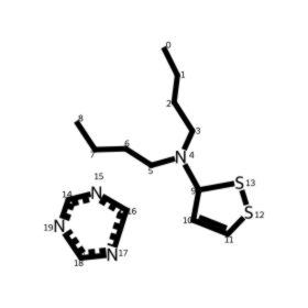 CCCCN(CCCC)C1C=CSS1.c1ncncn1